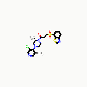 Cc1cncc(Cl)c1N1CCN(C(=O)CCS(=O)(=O)c2cccc3ncsc23)[C@@H](C)C1